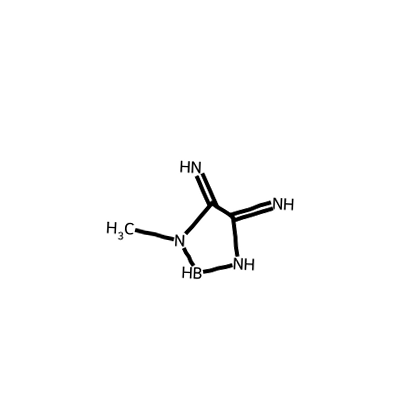 CN1BNC(=N)C1=N